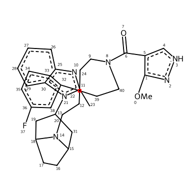 COc1n[nH]cc1C(=O)N1CCC(CCN2C3CCC2CC(n2c(C)nc4ccccc42)C3)(c2cccc(F)c2)CC1